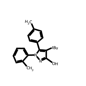 Cc1ccc(-c2c(C(C)(C)C)c(O)nn2-c2ccccc2C)cc1